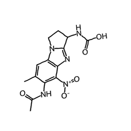 CC(=O)Nc1c(C)cc2c(nc3n2CCC3NC(=O)O)c1[N+](=O)[O-]